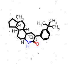 CC(C)(C)c1cccc(C2C[C@@]3(C)[C@@H](CC[C@H]4[C@@H]5CCC[C@@]5(C)CC[C@@H]43)NC2=O)c1